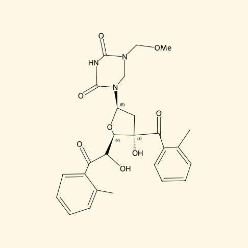 COCN1CN([C@H]2C[C@@](O)(C(=O)c3ccccc3C)[C@@H](C(O)C(=O)c3ccccc3C)O2)C(=O)NC1=O